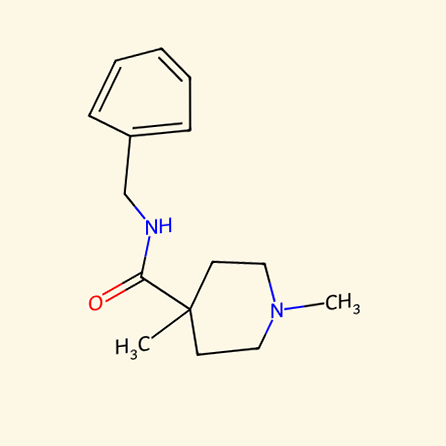 CN1CCC(C)(C(=O)NCc2ccccc2)CC1